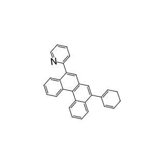 C1=CC(c2cc3cc(-c4ccccn4)c4ccccc4c3c3ccccc23)=CCC1